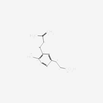 C=C(C)CCc1cc(CCC(=O)O)ccc1O